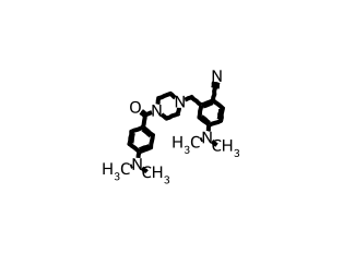 CN(C)c1ccc(C(=O)N2CCN(Cc3cc(N(C)C)ccc3C#N)CC2)cc1